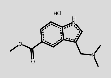 COC(=O)c1ccc2[nH]cc(CN(C)C)c2c1.Cl